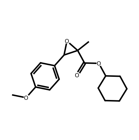 COc1ccc(C2OC2(C)C(=O)OC2CCCCC2)cc1